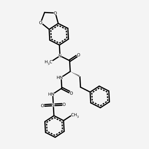 Cc1ccccc1S(=O)(=O)NC(=O)N[C@@H](CCc1ccccc1)C(=O)N(C)c1ccc2c(c1)OCO2